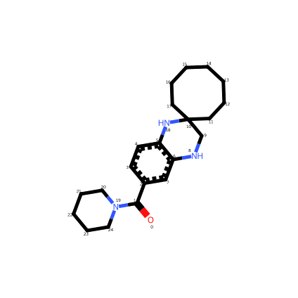 O=C(c1ccc2c(c1)NCC1(CCCCCCC1)N2)N1CCCCC1